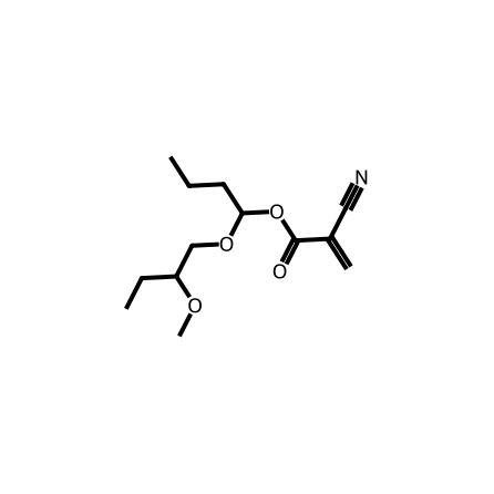 C=C(C#N)C(=O)OC(CCC)OCC(CC)OC